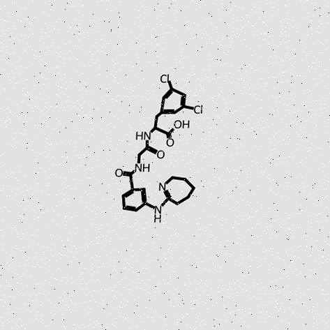 O=C(CNC(=O)c1cccc(NC2=NCCCCC2)c1)NC(Cc1cc(Cl)cc(Cl)c1)C(=O)O